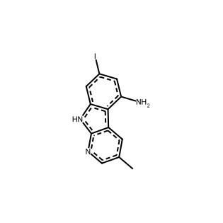 Cc1cnc2[nH]c3cc(I)cc(N)c3c2c1